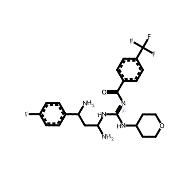 NC(CC(N)c1ccc(F)cc1)N/C(=N\C(=O)c1ccc(C(F)(F)F)cc1)NC1CCOCC1